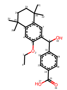 CCOc1cc2c(cc1C(O)c1ccc(C(=O)O)cc1)C(C)(C)CCC2(C)C